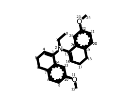 CCN(C1=CCCc2ccc(OC)cc21)C1=CCCc2ccc(OC)cc21